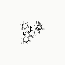 O=C(Nn1c(-c2ccccc2)nc2ccccc2c1=O)[C@@H]1C[C@@H]2C=C[C@H]1C2